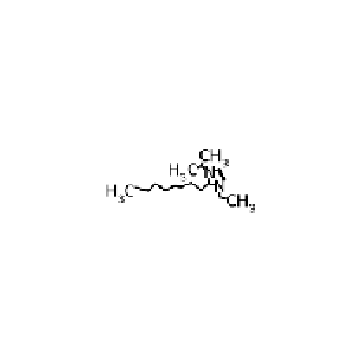 CCCCCCCCCC1N(CC)C=CN1C(C)C